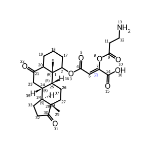 C[C@]12C(OC(=O)/C=C(\OC(=O)CCN)C(=O)O)CCCC1C(=O)C[C@@H]1[C@H]2CC[C@]2(C)C(=O)CC[C@@H]12